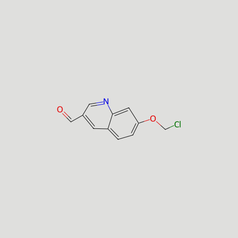 O=Cc1cnc2cc(OCCl)ccc2c1